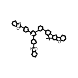 CC1(C)c2cc(-c3cccc(-c4cc(-c5ccc(-c6nc7ccccc7o6)cc5)cc(-c5ccc(-c6nc7ccccc7o6)cc5)c4)c3)ccc2-c2cc3c(cc21)oc1ccccc13